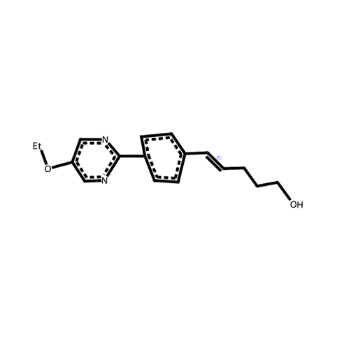 CCOc1cnc(-c2ccc(/C=C/CCCO)cc2)nc1